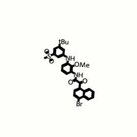 COc1c(NC(=O)C(=O)c2ccc(Br)c3ccccc23)cccc1Nc1cc(C(C)(C)C)cc(S(C)(=O)=O)c1